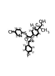 CC(C)(CO)c1ccc(-c2nc(-c3ccc(F)cc3)oc2Sc2ccc(Cl)cn2)cn1